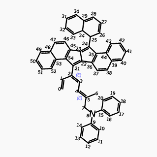 C=C/C(=C\C=C(/C)CN(c1ccccc1)c1ccccc1)C1=C2C(=C(C3C=CC=C4C=CC=CC43)c3c2ccc2ccccc32)c2ccc3ccccc3c21